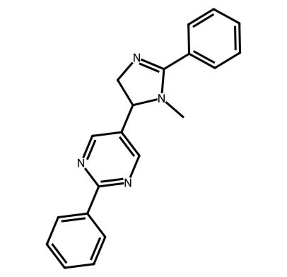 CN1C(c2ccccc2)=NCC1c1cnc(-c2ccccc2)nc1